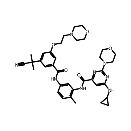 Cc1ccc(NC(=O)c2cc(OCCN3CCOCC3)cc(C(C)(C)C#N)c2)cc1NC(=O)c1cc(NC2CC2)nc(N2CCOCC2)n1